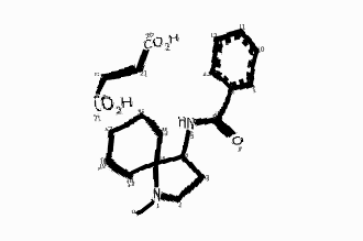 CN1CCC(NC(=O)c2ccccc2)C12CCCCC2.O=C(O)C=CC(=O)O